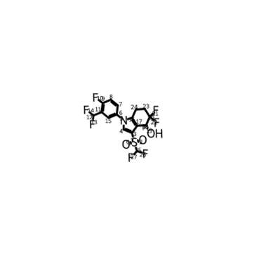 O=S(=O)(c1cn(-c2ccc(F)c(C(F)F)c2)c2c1[C@@H](O)C(F)(F)CC2)C(F)F